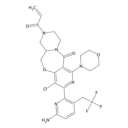 C=CC(=O)N1CCN2C(=O)c3c(N4CCOCC4)nc(-c4nc(N)ccc4CC(F)(F)F)c(Cl)c3OCC2C1